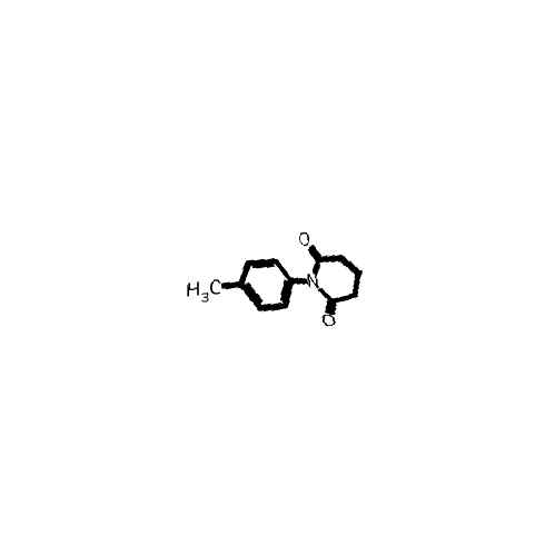 Cc1ccc(N2C(=O)CCCC2=O)cc1